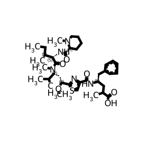 CC[C@H](C)[C@H](NC(=O)[C@H]1CCCCN1C)C(=O)N(C)[C@H](C[C@@H](OC)c1nc(C(=O)N[C@@H](Cc2ccccc2)CC(C)C(=O)O)cs1)C(C)C